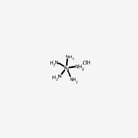 Cl.[NH2][Ru]([NH2])([NH2])([NH2])[NH2]